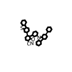 N#Cc1ccc(-c2ccc3c(c2)sc2ccccc23)c2c1oc1c(-n3c4ccccc4c4ccc(-c5ccccc5)cc43)cccc12